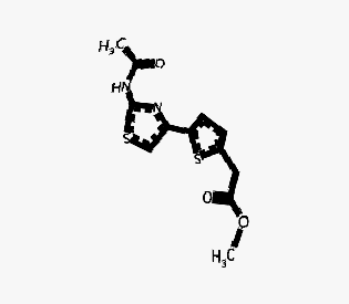 COC(=O)Cc1ccc(-c2csc(NC(C)=O)n2)s1